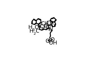 C=C(/C=C/C=C1/N(CCCCS(=O)(=O)O)c2ccc3ccccc3c2C1(C)C)C(C)(C)c1c(C)ccc2ccccc12